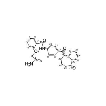 NC(=O)COc1ccccc1C(=O)Nc1ccc(C(=O)N2CCCC(=O)c3ccccc32)cc1